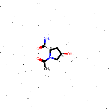 CC(=O)N1C[C@H](O)C[C@H]1C(N)=O